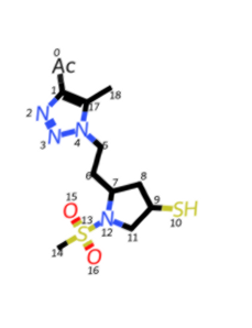 CC(=O)c1nnn(CCC2CC(S)CN2S(C)(=O)=O)c1C